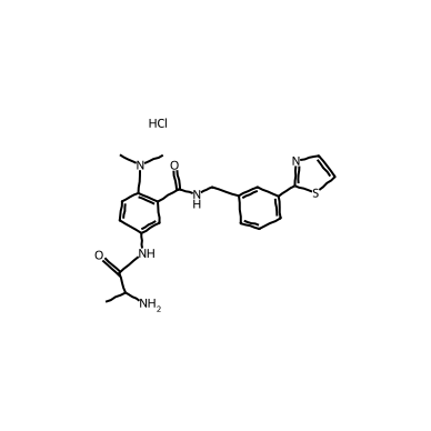 CC(N)C(=O)Nc1ccc(N(C)C)c(C(=O)NCc2cccc(-c3nccs3)c2)c1.Cl